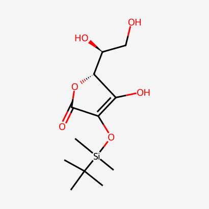 CC(C)(C)[Si](C)(C)OC1=C(O)[C@@H]([C@@H](O)CO)OC1=O